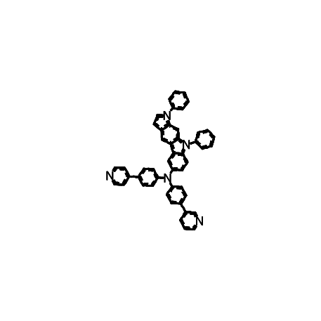 c1ccc(-n2ccc3cc4c5cc(N(c6ccc(-c7ccncc7)cc6)c6ccc(-c7cccnc7)cc6)ccc5n(-c5ccccc5)c4cc32)cc1